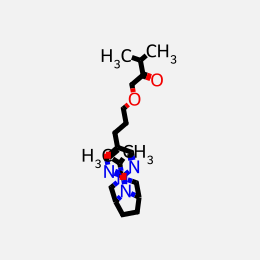 CC(C)C(=O)COCCCc1cnc(N2C3CCC2CN(C(C)C)C3)nc1